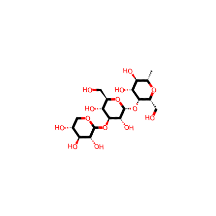 C[C@@H]1O[C@H](CO)[C@H](O[C@H]2O[C@H](CO)[C@@H](O)[C@H](OC3OC[C@@H](O)[C@H](O)[C@H]3O)[C@H]2O)[C@H](O)[C@H]1O